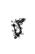 CC[C@@]1(O)C(=O)OCc2c1cc1n(c2=S)Cc2c-1nc1cc(F)c(C)c3c1c2[C@@H](NC(=O)COCNC(=O)OCc1ccc(NC(=O)CNC(=O)[C@H](Cc2ccccc2)NC(=O)CNC(=O)CNC(=O)CCCCCN2C(=O)C=CC2=O)cc1)CC3